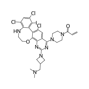 C=CC(=O)N1CCN(c2nc(N3CC(CN(C)C)C3)nc3c4c(c(Cl)cc23)-c2c(I)c(Cl)cc(Cl)c2NCCO4)CC1